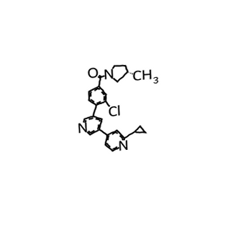 C[C@H]1CCN(C(=O)c2ccc(-c3cncc(-c4ccnc(C5CC5)c4)c3)c(Cl)c2)C1